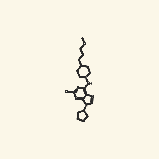 COCCCC1CCN(Nc2nc(Cl)nc3c2ncn3C2CCCC2)CC1